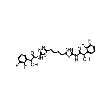 O=C(Nc1nnc(CCCCc2nnc(NC(=O)C(O)c3cccc(F)c3F)s2)s1)C(O)c1cccc(F)c1F